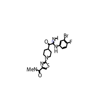 CNC(=O)c1csc(N2CCC(C(=O)/C(=N/I)Nc3ccc(F)c(Br)c3)CC2)n1